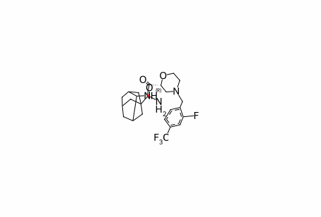 NC(=O)C12CC3CC(C1)C(NC(=O)[C@H]1CN(Cc4ccc(C(F)(F)F)cc4F)CCO1)C(C3)C2